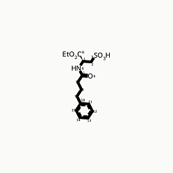 CCOC(=O)[C@H](CS(=O)(=O)O)NC(=O)CCCc1ccccc1